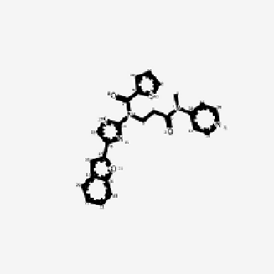 CN(C(=O)CCN(C(=O)c1cccs1)c1nc(-c2cc3ccccc3o2)cs1)c1ccncc1